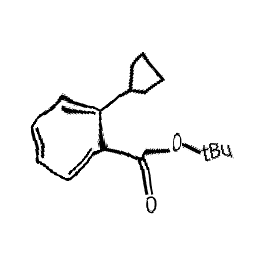 CC(C)(C)OC(=O)c1ccccc1C1CC1